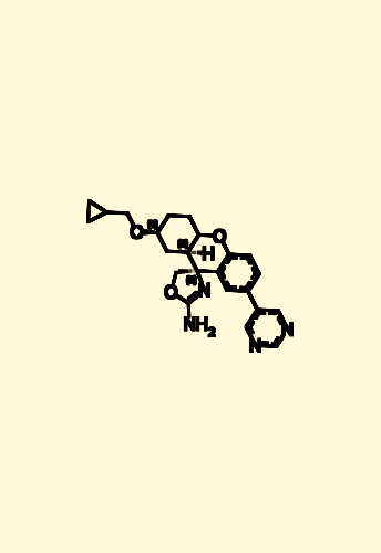 NC1=N[C@]2(CO1)c1cc(-c3cncnc3)ccc1OC1CC[C@H](OCC3CC3)C[C@@H]12